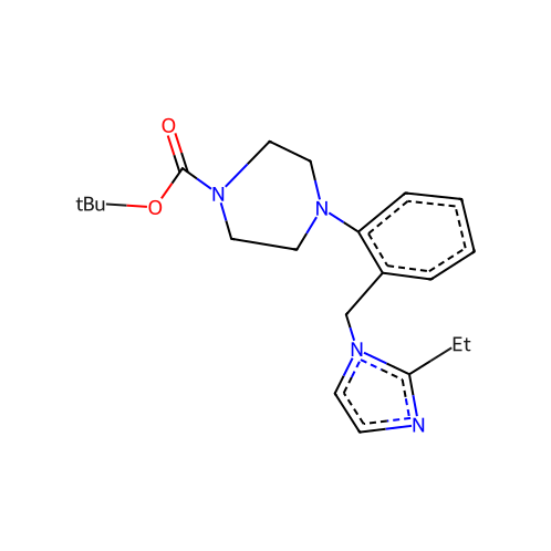 CCc1nccn1Cc1ccccc1N1CCN(C(=O)OC(C)(C)C)CC1